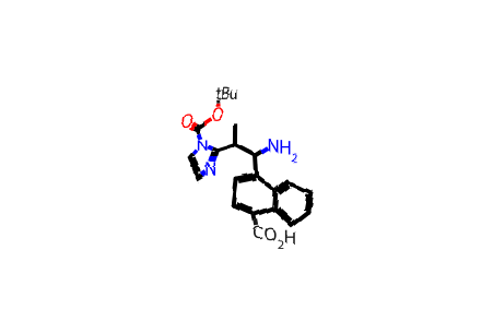 CC(c1nccn1C(=O)OC(C)(C)C)C(N)c1ccc(C(=O)O)c2ccccc12